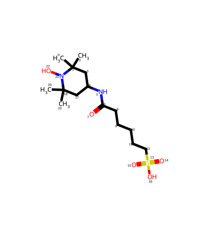 CC1(C)CC(NC(=O)CCCCCS(=O)(=O)O)CC(C)(C)N1O